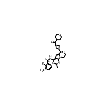 Cc1nc(N[C@H](C)c2cccc(C(F)(F)F)c2F)c2cc3n(c2n1)CCOC3C1CN(C(=O)C2CCOCC2)C1